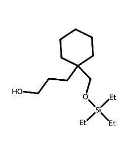 CC[Si](CC)(CC)OCC1(CCCO)CCCCC1